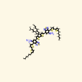 CCCCCCc1ccc(-c2ccc(-c3c(N)cc(-c4cc5c(s4)-c4sc(-c6cc(N)c(-c7ccc(-c8ccc(CCCCCC)s8)s7)c7nsnc67)cc4C5(CCCCCC)CCCCCC)c4nsnc34)s2)s1